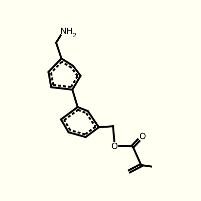 C=C(C)C(=O)OCc1cccc(-c2ccc(CN)cc2)c1